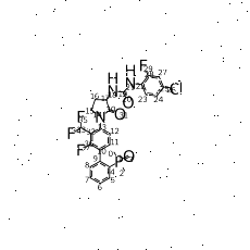 CP(C)(=O)c1ccccc1-c1ccc(N2CC[C@@H](NC(=O)Nc3ccc(Cl)cc3F)C2=O)c(C(F)F)c1F